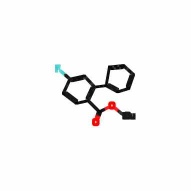 CC(C)(C)OC(=O)c1ccc(F)cc1-c1ccccc1